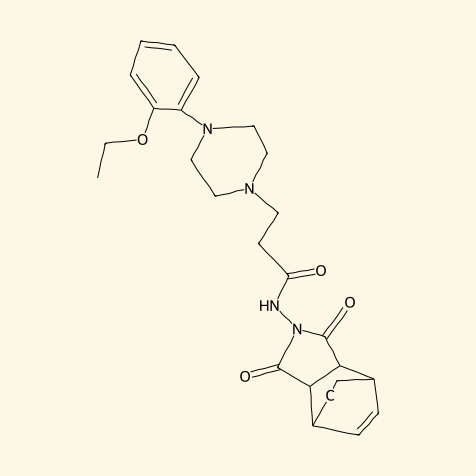 CCOc1ccccc1N1CCN(CCC(=O)NN2C(=O)C3C4C=CC(CC4)C3C2=O)CC1